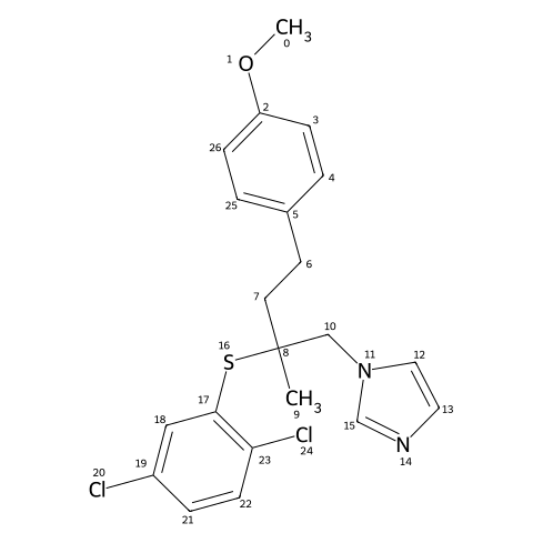 COc1ccc(CCC(C)(Cn2ccnc2)Sc2cc(Cl)ccc2Cl)cc1